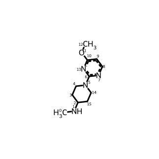 CNC1CCN(c2nccc(OC)n2)CC1